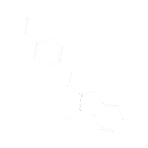 O=C1c2ccccc2CN1OCc1ccc(CBr)cc1